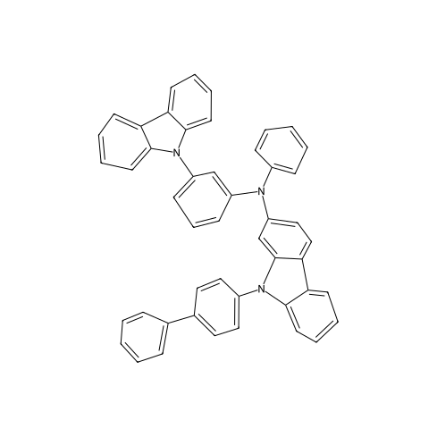 c1ccc(-c2ccc(-n3c4ccccc4c4ccc(N(c5ccccc5)c5cccc(-n6c7ccccc7c7ccccc76)c5)cc43)cc2)cc1